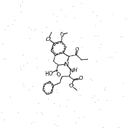 CCC(=O)C1c2cc(OC)c(OC)cc2CC(C(=O)O)N1NC(CCc1ccccc1)C(=O)OC